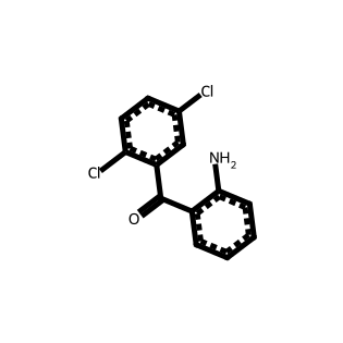 Nc1ccccc1C(=O)c1cc(Cl)ccc1Cl